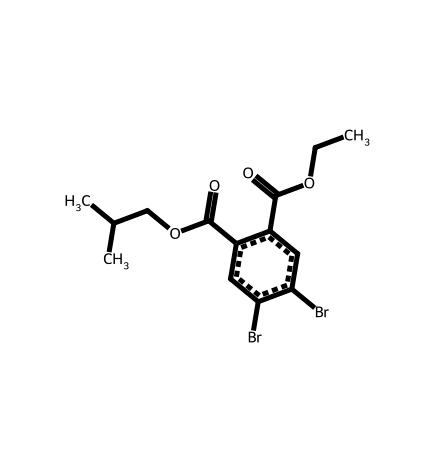 CCOC(=O)c1cc(Br)c(Br)cc1C(=O)OCC(C)C